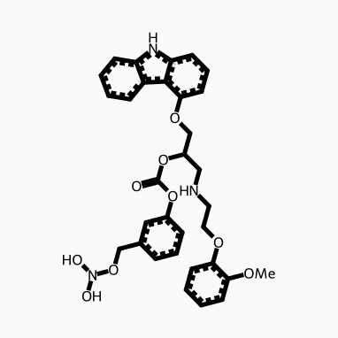 COc1ccccc1OCCNCC(COc1cccc2[nH]c3ccccc3c12)OC(=O)Oc1cccc(CON(O)O)c1